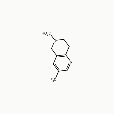 O=C(O)N1CCc2ncc(C(F)(F)F)cc2C1